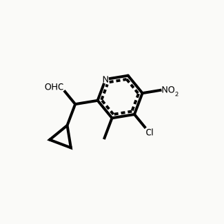 Cc1c(C(C=O)C2CC2)ncc([N+](=O)[O-])c1Cl